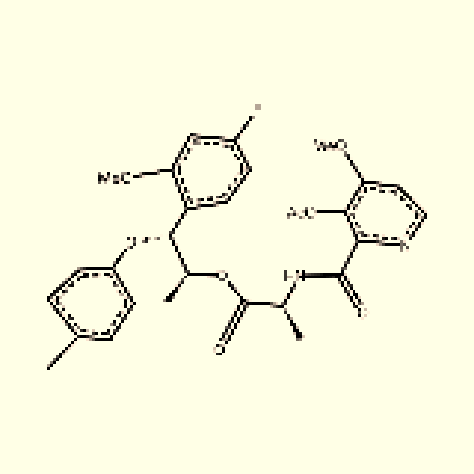 COc1cc(F)ccc1[C@@H](Oc1ccc(C)cc1)[C@H](C)OC(=O)[C@H](C)NC(=O)c1nccc(OC)c1OC(C)=O